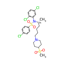 C[C@H](CCCCN1CCC(S(C)(=O)=O)CC1)N(c1cc(Cl)ccc1Cl)S(=O)(=O)c1ccc(Cl)cc1